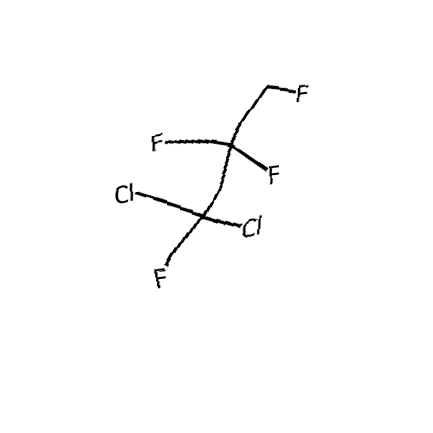 FCC(F)(F)C(F)(Cl)Cl